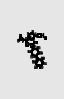 C[C@H]1CCN(C(=O)C2CC2)[C@H]1COC1CCC(c2ccccc2)CC1